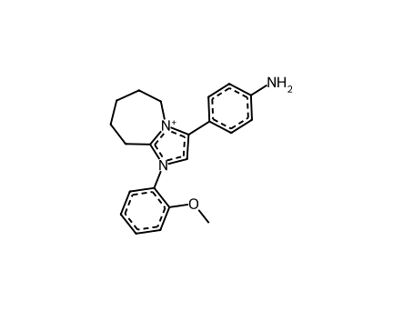 COc1ccccc1-n1cc(-c2ccc(N)cc2)[n+]2c1CCCCC2